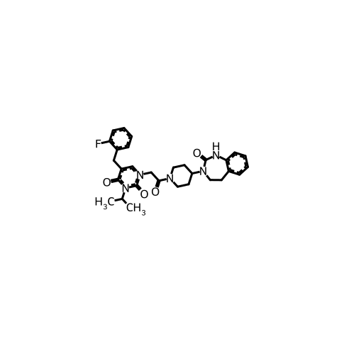 CC(C)n1c(=O)c(Cc2ccccc2F)cn(CC(=O)N2CCC(N3CCc4ccccc4NC3=O)CC2)c1=O